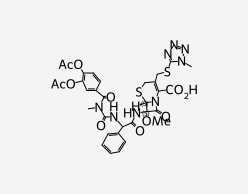 CO[C@@]1(NC(=O)C(NC(=O)N(C)C(=O)c2ccc(OC(C)=O)c(OC(C)=O)c2)c2ccccc2)C(=O)N2C(C(=O)O)=C(CSc3nnnn3C)CS[C@H]21